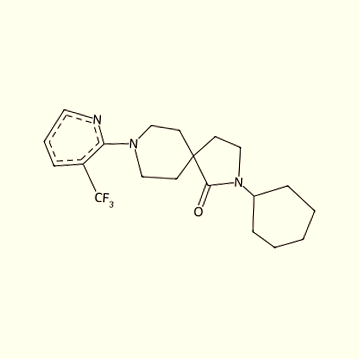 O=C1N(C2CCCCC2)CCC12CCN(c1ncccc1C(F)(F)F)CC2